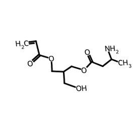 C=CC(=O)OCC(CO)COC(=O)CC(C)N